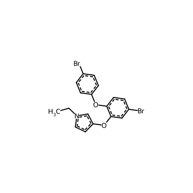 CCn1ccc(Oc2cc(Br)ccc2Oc2ccc(Br)cc2)c1